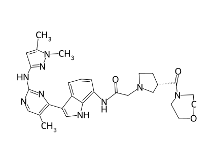 Cc1cnc(Nc2cc(C)n(C)n2)nc1-c1c[nH]c2c(NC(=O)CN3CC[C@H](C(=O)N4CCOCC4)C3)cccc12